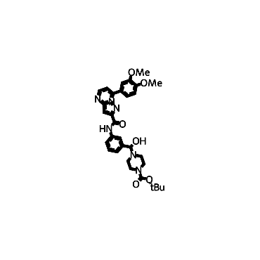 COc1ccc(-c2ccnc3cc(C(=O)Nc4cccc(C(O)N5CCN(C(=O)OC(C)(C)C)CC5)c4)nn23)cc1OC